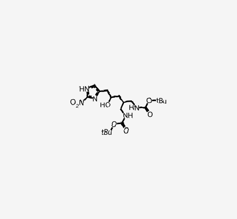 CC(C)(C)OC(=O)NCC(CNC(=O)OC(C)(C)C)CC(O)Cc1c[nH]c([N+](=O)[O-])n1